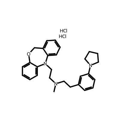 CN(CCc1cccc(N2CCCC2)c1)CCN1c2ccccc2COc2ccccc21.Cl.Cl